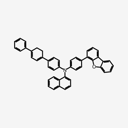 C1=C(c2ccccc2)CCC(c2ccc(N(c3ccc(-c4cccc5c4oc4ccccc45)cc3)c3cccc4ccccc34)cc2)=C1